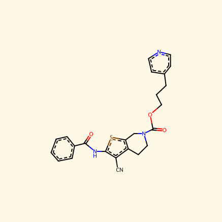 N#Cc1c(NC(=O)c2ccccc2)sc2c1CCN(C(=O)OCCCc1ccncc1)C2